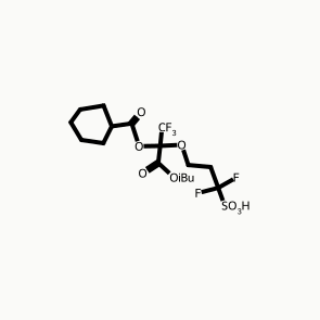 CC(C)COC(=O)C(OCCC(F)(F)S(=O)(=O)O)(OC(=O)C1CCCCC1)C(F)(F)F